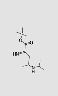 CC(C)NC(C)CC(=N)C(=O)OC(C)(C)C